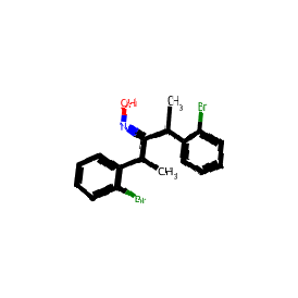 CC(C(=NO)C(C)c1ccccc1Br)c1ccccc1Br